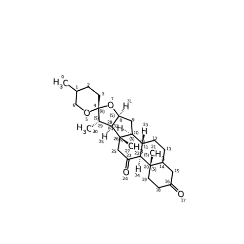 CC1CC[C@@]2(OC1)O[C@H]1C[C@H]3[C@@H]4CCC5CC(=O)CC[C@]5(C)[C@H]4C(=O)C[C@]3(C)[C@H]1[C@@H]2C